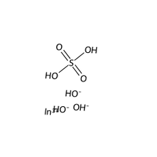 O=S(=O)(O)O.[In+3].[OH-].[OH-].[OH-]